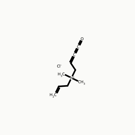 C=CC[N+](C)(C)CC=C=C=O.[Cl-]